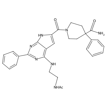 CC(=O)NCCNc1nc(-c2ccccc2)nc2[nH]c(C(=O)N3CCC(C(N)=O)(c4ccccc4)CC3)cc12